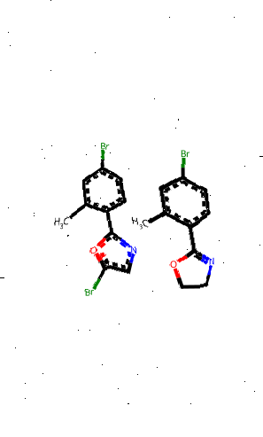 Cc1cc(Br)ccc1-c1ncc(Br)o1.Cc1cc(Br)ccc1C1=NCCO1